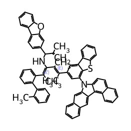 C=C(C)C(NC(=C(/C)c1ccccc1-c1ccccc1C)/C(C)=C(\C)c1cc(-n2c3cc4ccccc4cc3c3c4ccccc4ccc32)c2sc3ccccc3c2c1)c1ccc2c(c1)oc1ccccc12